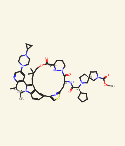 CO[C@@H](C)c1ncc(N2CCN(C3CC3)CC2)cc1-c1c2c3cc(ccc3n1CC(F)(F)F)-c1csc(n1)C[C@H](NC(=O)[C@H](C1CCCC1)N1CC[C@]3(CCN(C(=O)OC(C)(C)C)C3)C1)C(=O)N1CCC[C@H](N1)C(=O)OCC(C)(C)C2